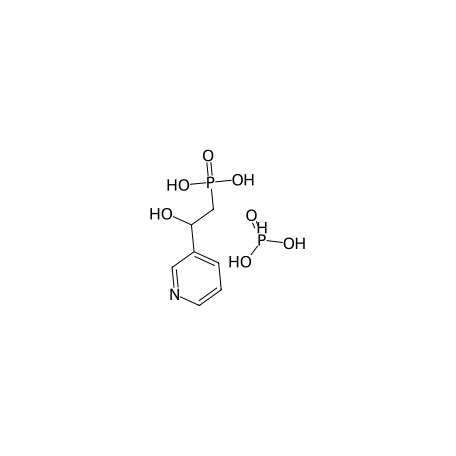 O=P(O)(O)CC(O)c1cccnc1.O=[PH](O)O